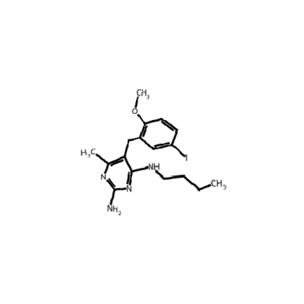 CCCCNc1nc(N)nc(C)c1Cc1cc(I)ccc1OC